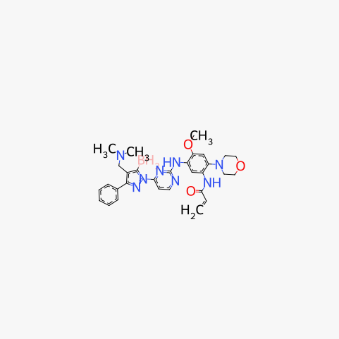 Bc1c(CN(C)C)c(-c2ccccc2)nn1-c1ccnc(Nc2cc(NC(=O)C=C)c(N3CCOCC3)cc2OC)n1